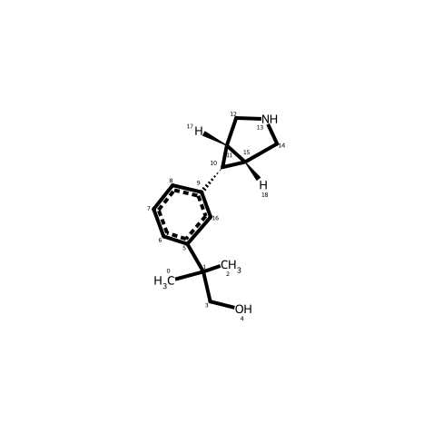 CC(C)(CO)c1cccc([C@@H]2[C@@H]3CNC[C@@H]32)c1